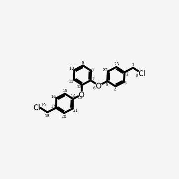 ClCc1ccc(Oc2ccccc2Oc2ccc(CCl)cc2)cc1